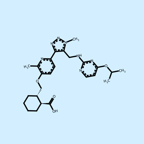 Cc1nc(-c2nnn(C)c2CNc2nccc(OC(C)C)n2)ccc1OC[C@H]1CCCC[C@@H]1C(=O)O